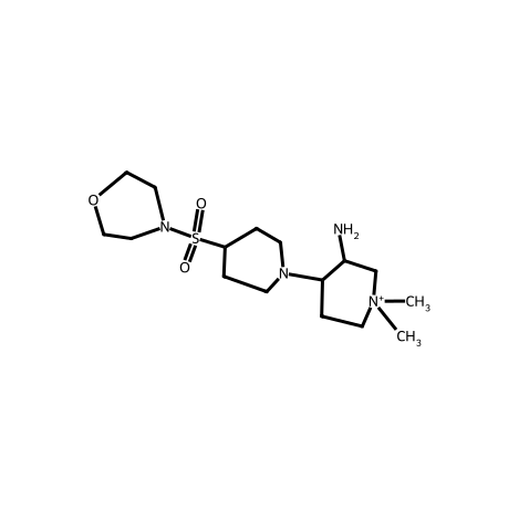 C[N+]1(C)CCC(N2CCC(S(=O)(=O)N3CCOCC3)CC2)C(N)C1